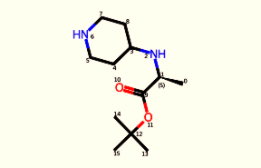 C[C@H](NC1CCNCC1)C(=O)OC(C)(C)C